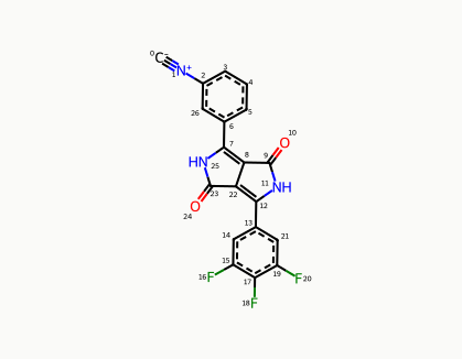 [C-]#[N+]c1cccc(C2=C3C(=O)NC(c4cc(F)c(F)c(F)c4)=C3C(=O)N2)c1